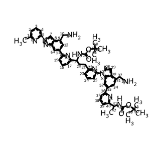 Cc1cccc(-n2cc3c(CN)cc(-c4cccc(C(CCc5cccc(-n6ncc7c(CN)cc(-c8cccc(C(C)NC(=O)OC(C)(C)C)n8)cc76)n5)NC(=O)OC(C)(C)C)n4)cc3n2)n1